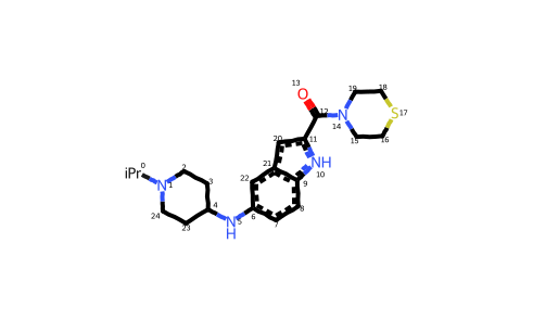 CC(C)N1CCC(Nc2ccc3[nH]c(C(=O)N4CCSCC4)cc3c2)CC1